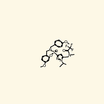 COc1ccc(CN(Cc2ccc(OC)cc2)S(=O)(=O)c2cc(CN(C)C(=O)C(F)(F)F)n(C(C)C)n2)cc1